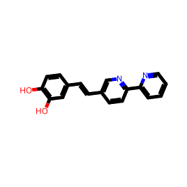 Oc1ccc(C=Cc2ccc(-c3ccccn3)nc2)cc1O